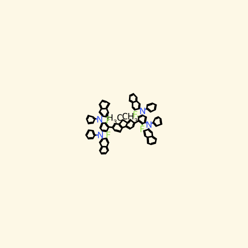 CC1(C)c2cc(-c3c(F)c(N(c4ccccc4)c4ccc5ccccc5c4)cc(N(c4ccccc4)c4ccc5ccccc5c4)c3F)ccc2-c2ccc(-c3c(F)c(N(c4ccccc4)c4ccc5ccccc5c4)cc(N(c4ccccc4)c4ccc5ccccc5c4)c3F)cc21